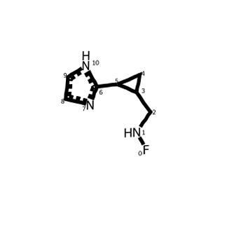 FNCC1CC1c1ncc[nH]1